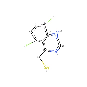 Fc1ccc(F)c2c(CS)ncnc12